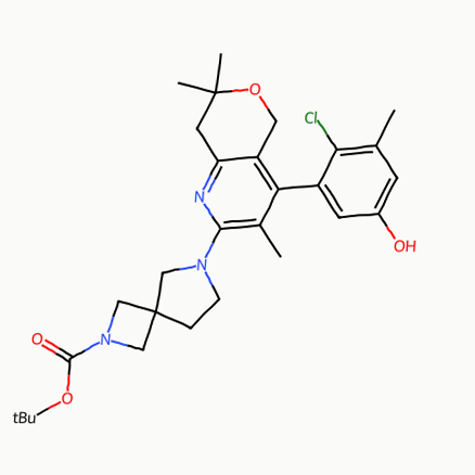 Cc1cc(O)cc(-c2c(C)c(N3CCC4(CN(C(=O)OC(C)(C)C)C4)C3)nc3c2COC(C)(C)C3)c1Cl